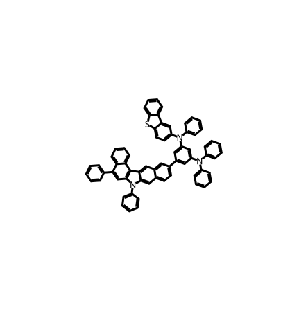 c1ccc(-c2cc3c(c4ccccc24)c2cc4cc(-c5cc(N(c6ccccc6)c6ccccc6)cc(N(c6ccccc6)c6ccc7sc8ccccc8c7c6)c5)ccc4cc2n3-c2ccccc2)cc1